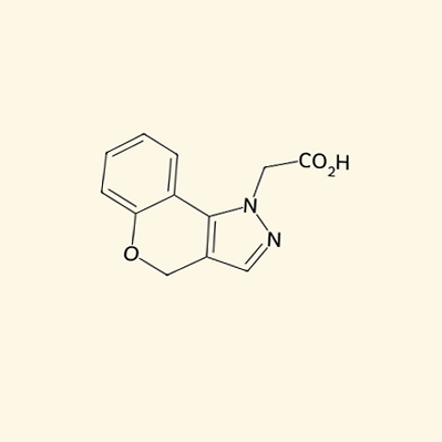 O=C(O)Cn1ncc2c1-c1ccccc1OC2